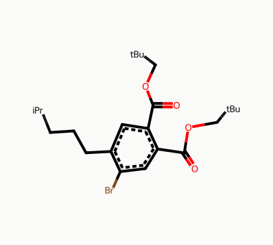 CC(C)CCCc1cc(C(=O)OCC(C)(C)C)c(C(=O)OCC(C)(C)C)cc1Br